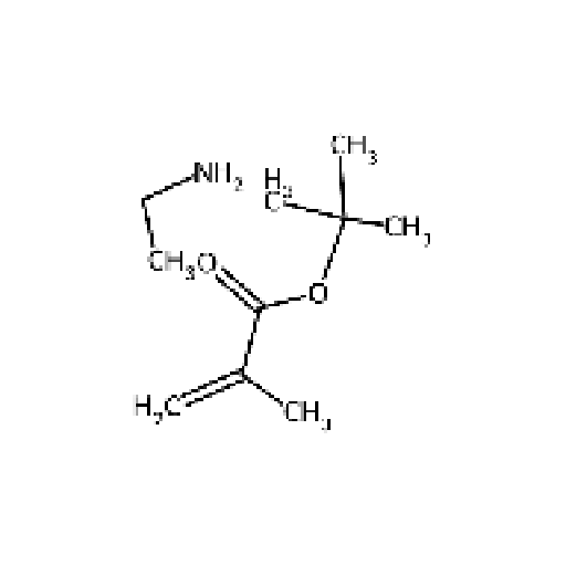 C=C(C)C(=O)OC(C)(C)C.CCN